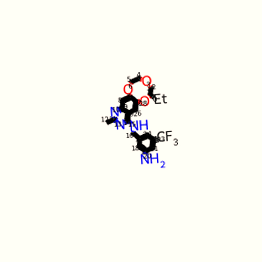 CCC1COCCOc2cc3nc(C)nc(NCc4cc(N)cc(C(F)(F)F)c4)c3cc2O1